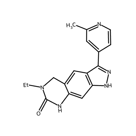 CCN1Cc2cc3c(-c4ccnc(C)c4)n[nH]c3cc2NC1=O